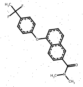 CN(C)C(=O)c1ccc2c(Oc3ccc(C(C)(F)F)cc3)cccc2c1